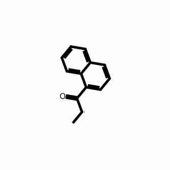 C[CH]C(=O)c1cccc2ccccc12